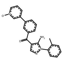 Cc1ccccc1-n1ncc(C(=O)c2cccc(-c3ccc[n+]([O-])c3)c2)c1N